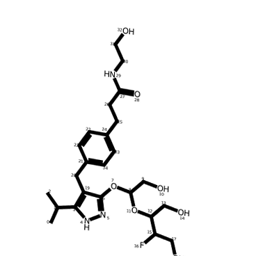 CC(C)c1[nH]nc(OC(CO)OC(CO)C(F)CO)c1Cc1ccc(CCC(=O)NCCO)cc1